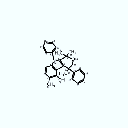 Cc1ccc2c(c1O)c1c(n2-c2ccccc2)C(C)(C)OCC1(C)c1ccccc1